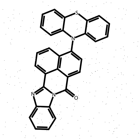 O=c1c2ccc(N3c4ccccc4Sc4ccccc43)c3cccc(c32)c2nc3ccccc3n12